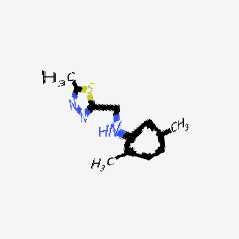 Cc1ccc(C)c(NCc2nnc(C)s2)c1